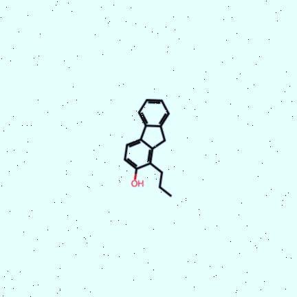 CCCc1c(O)ccc2c1Cc1ccccc1-2